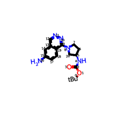 CC(C)(C)OC(=O)N[C@@H]1CCN(c2nncc3cc(N)ccc23)C1